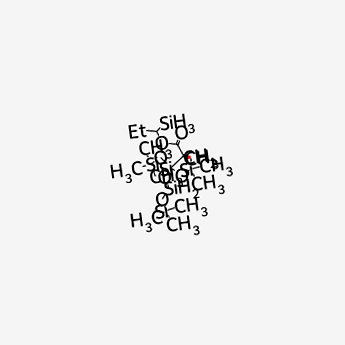 C=C(C(=O)OC([SiH3])CC)[Si](O[SiH2]O[Si](C)(C)C)(O[Si](C)(C)C)O[Si](C)(C)C